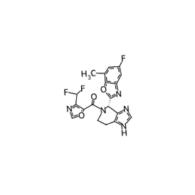 Cc1cc(F)cc2nc([C@@H]3c4nc[nH]c4CCN3C(=O)c3ocnc3C(F)F)oc12